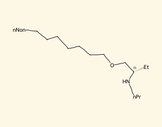 CCCCCCCCCCCCCCCCOC[C@H](CC)NCCC